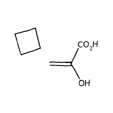 C1CCC1.C=C(O)C(=O)O